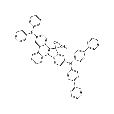 CC1(C)c2cc(N(c3ccc(-c4ccccc4)cc3)c3ccc(-c4ccccc4)cc3)ccc2-c2c1c1ccc(N(c3ccccc3)c3ccccc3)cc1c1ccccc21